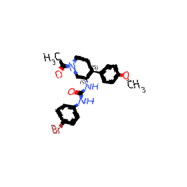 COc1ccc([C@@H]2CCN(C(C)=O)C[C@H]2NC(=O)Nc2ccc(Br)cc2)cc1